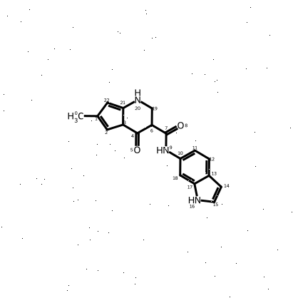 CC1=CC2C(=O)C(C(=O)Nc3ccc4cc[nH]c4c3)CNC2=C1